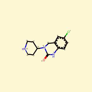 O=C1Nc2ccc(Cl)cc2CN1C1CCNCC1